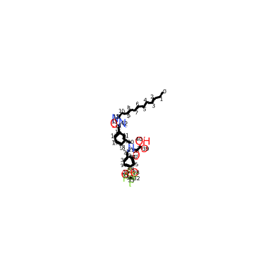 CCCCCCCCCCCc1noc(-c2cccc(CN(Cc3ccc(S(=O)(=O)C(F)(F)F)cc3)C(=O)C(=O)O)c2)n1